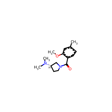 COc1cc(C)ccc1C(=O)N1CC[C@H](N(C)C)C1